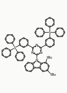 CC(C)(C)c1cc(C(C)(C)C)c2c(c1)c1ccccc1n2-c1nc(-c2cccc(S(c3ccccc3)(c3ccccc3)c3ccccc3)c2)nc(-c2cccc(S(c3ccccc3)(c3ccccc3)c3ccccc3)c2)n1